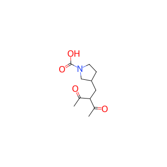 CC(=O)C(CC1CCN(C(=O)O)C1)C(C)=O